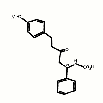 COc1ccc(CCC(=O)C[C@@H](NC(=O)O)c2ccccc2)cc1